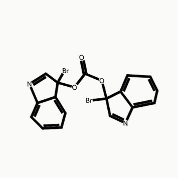 O=C(OC1(Br)C=Nc2ccccc21)OC1(Br)C=Nc2ccccc21